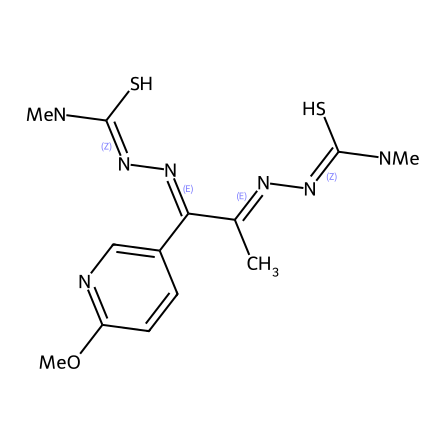 CN/C(S)=N/N=C(C)/C(=N/N=C(\S)NC)c1ccc(OC)nc1